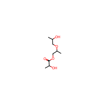 CC(O)COC(C)COC(=O)C(C)O